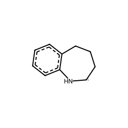 [C]1CCCc2ccccc2N1